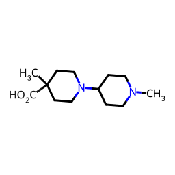 CN1CCC(N2CCC(C)(C(=O)O)CC2)CC1